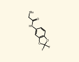 CC(C)(C)CC(=O)Nc1ccc2c(c1)OC(F)(F)O2